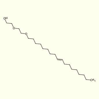 CCCCCCCCC=CCCCCCCCCOCCOCCO